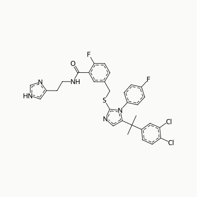 CC(C)(c1ccc(Cl)c(Cl)c1)c1cnc(SCc2ccc(F)c(C(=O)NCCc3c[nH]cn3)c2)n1-c1ccc(F)cc1